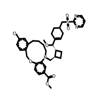 COC(=O)c1ccc2c(c1)N(C[C@@H]1CC[C@H]1C(OC)C1=CCC(CS(=O)(=O)c3ncccn3)CC1)CCCCc1cc(Cl)ccc1CO2